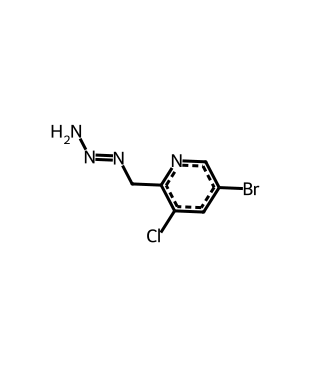 NN=NCc1ncc(Br)cc1Cl